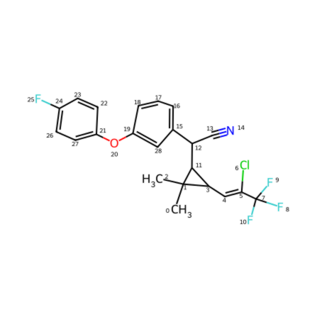 CC1(C)C(C=C(Cl)C(F)(F)F)C1C(C#N)c1cccc(Oc2ccc(F)cc2)c1